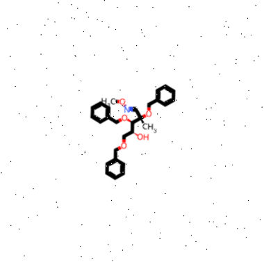 CON=C[C@](C)(OCc1ccccc1)[C@H](OCc1ccccc1)[C@H](O)COCc1ccccc1